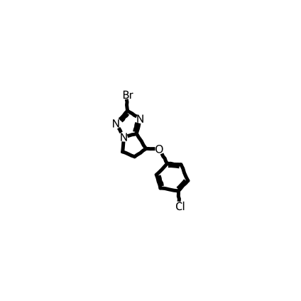 Clc1ccc(OC2CCn3nc(Br)nc32)cc1